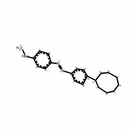 CNc1ccc(/N=N/c2ccc(C3CCCCCCC3)cc2)cc1